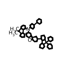 CC1(C)c2ccccc2-c2c(N(c3ccc(-c4ccccc4)cc3)c3ccc4oc5ccc(-c6cccc7c6-c6ccccc6C7(c6ccccc6)c6ccccc6)cc5c4c3)cccc21